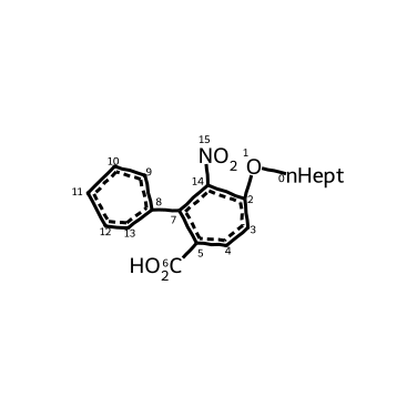 CCCCCCCOc1ccc(C(=O)O)c(-c2ccccc2)c1[N+](=O)[O-]